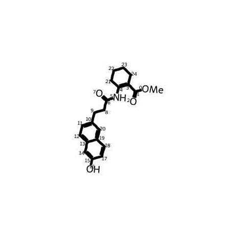 COC(=O)C1=C(NC(=O)CCc2ccc3cc(O)ccc3c2)CCCC1